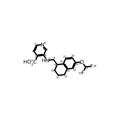 O=C(O)c1ccncc1NCC1CCCc2cc(OC(F)F)ccc21